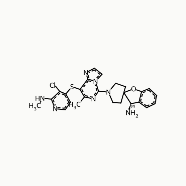 CNc1nccc(Sc2c(C)nc(N3CCC4(CC3)Oc3ccccc3[C@H]4N)n3ccnc23)c1Cl